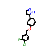 Fc1cc(COC2=CC=C(c3ccn[nH]3)CC=C2)ccc1Cl